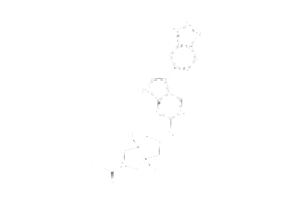 CC(=O)N1C[C@H]2C[C@@H](Nc3ncc4c(-c5ccc6nnn(C)c6c5)c[nH]c4n3)C[C@H]2C1